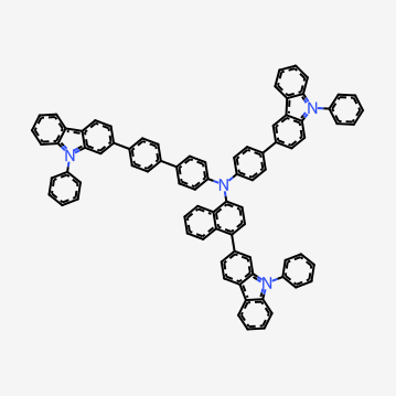 c1ccc(-n2c3ccccc3c3cc(-c4ccc(N(c5ccc(-c6ccc(-c7ccc8c9ccccc9n(-c9ccccc9)c8c7)cc6)cc5)c5ccc(-c6ccc7c8ccccc8n(-c8ccccc8)c7c6)c6ccccc56)cc4)ccc32)cc1